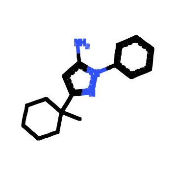 CC1(c2cc(N)n(-c3ccccc3)n2)CCCCC1